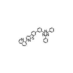 c1ccc(-c2nc(-c3ccccc3)nc(-c3cccc(-c4ccc5c(c4)sc4nc(-c6cccc7cccnc67)ccc45)c3)n2)cc1